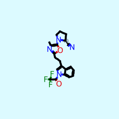 Cc1nc(CCc2cn(C(=O)C(F)(F)F)c3ccccc23)oc1N1CCC[C@H]1C#N